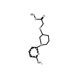 CC(C)(C)OC(=O)COC1CCCN(c2cccc(N)n2)C1